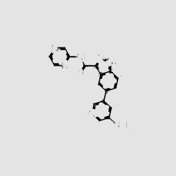 Nc1cncc(-c2ccc3[nH]nc(C(=O)Nc4cnccn4)c3c2)c1